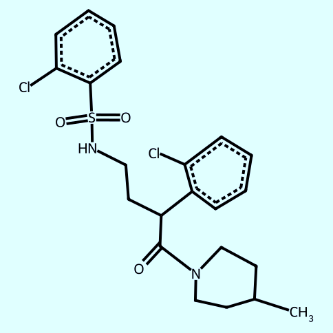 CC1CCN(C(=O)C(CCNS(=O)(=O)c2ccccc2Cl)c2ccccc2Cl)CC1